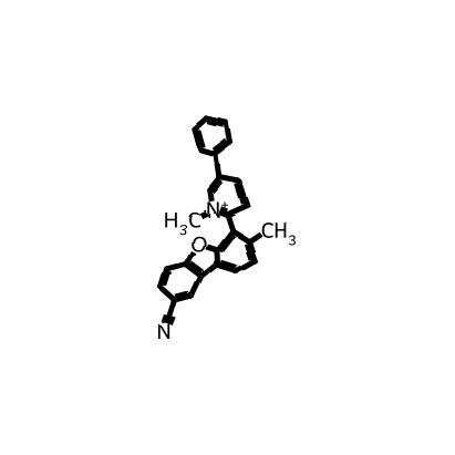 Cc1ccc2c(oc3ccc(C#N)cc32)c1-c1ccc(-c2ccccc2)c[n+]1C